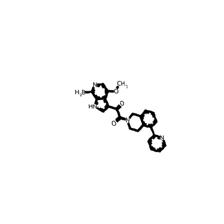 Bc1ncc(OC)c2c(C(=O)C(=O)N3CCc4c(cccc4-c4ccccn4)C3)c[nH]c12